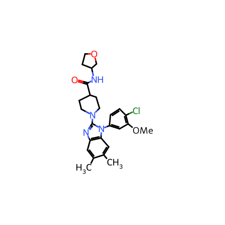 COc1cc(-n2c(N3CCC(C(=O)NC4CCOC4)CC3)nc3cc(C)c(C)cc32)ccc1Cl